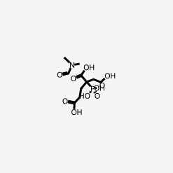 CN(C)C=O.O=C(O)CCC(CC(=O)O)(C(=O)O)P(=O)(O)O